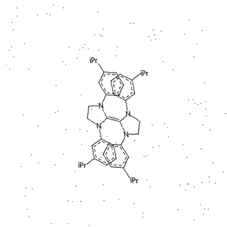 CC(C)c1cccc(N2CCN(c3cccc(C(C)C)c3)C2=C2N(c3cccc(C(C)C)c3)CCN2c2cccc(C(C)C)c2)c1